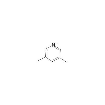 CC1=C[N+]=CC(C)=C1